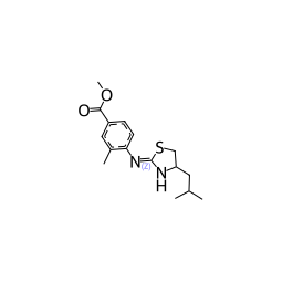 COC(=O)c1ccc(/N=C2/NC(CC(C)C)CS2)c(C)c1